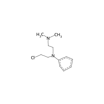 CN(C)CCN(CCCl)c1ccccc1